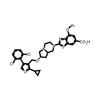 CC(C)Oc1cc(C(=O)O)cc2sc(N3CCN4C[C@H](OCc5c(-c6c(Cl)cccc6Cl)coc5C5CC5)CC4C3)nc12